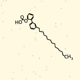 CCCCCCCCCCCCCCCc1cccc(-c2ccccc2OC(=O)O)c1